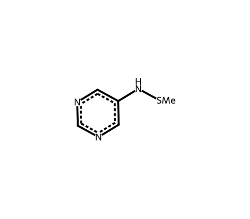 CSNc1cncnc1